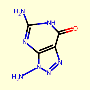 Nc1nc2c(nnn2N)c(=O)[nH]1